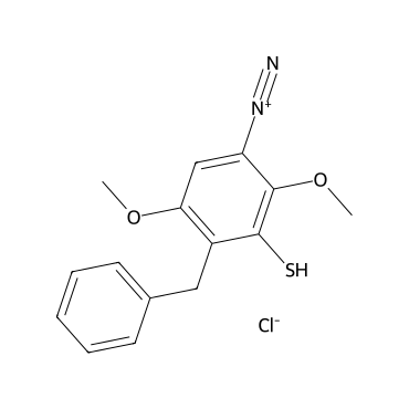 COc1cc([N+]#N)c(OC)c(S)c1Cc1ccccc1.[Cl-]